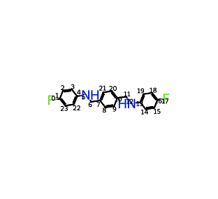 Fc1ccc(NCc2ccc(CNc3ccc(F)cc3)cc2)cc1